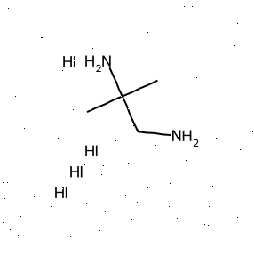 CC(C)(N)CN.I.I.I.I